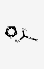 C[CH](C)[Mg][Cl].c1cocn1